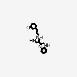 N=C/C(=C\NCCCC1CCCC(=O)C1)C1=Nc2ccccc2NC1